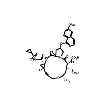 COC[C@@H]1C[C@H](C)CC/C=C\[C@@H]2C[C@@]2(C(=O)NS(=O)(=O)C2CC2)NC(=O)[C@@H]2C[C@@H](Oc3nccc4cc(OC)ccc34)CN2C(=O)[C@H]1NC(=O)O